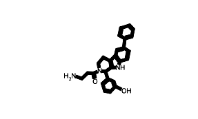 NCCC(=O)N1CCc2c([nH]c3ccc(-c4ccccc4)cc23)C1c1cccc(O)c1